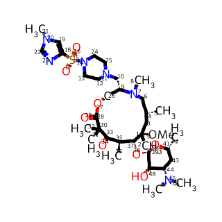 CO[C@]1(C)C[C@@H](C)CN(C)[C@@H](CN2CCN(S(=O)(=O)c3cn(C)cn3)CC2)COC(=O)C(C)(C)C(=O)[C@H](C)[C@H]1O[C@@H]1O[C@H](C)C[C@H](N(C)C)[C@H]1O